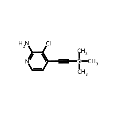 C[Si](C)(C)C#Cc1ccnc(N)c1Cl